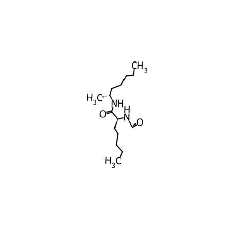 CCCCC[C@@H](C)NC(=O)[C@H](CCCCC)NC=O